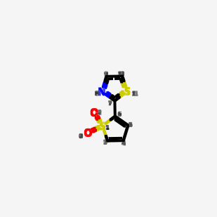 O=S1(=O)C=CC=C1c1nccs1